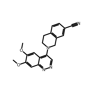 COc1cc2nncc(N3CCc4ccc(C#N)cc4C3)c2cc1OC